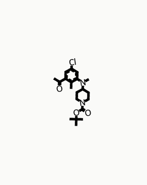 CC(=O)c1cc(Cl)cc(N(C)C2CCN(C(=O)OC(C)(C)C)CC2)c1C